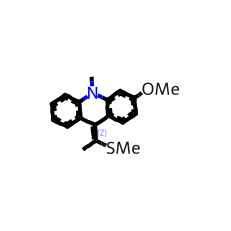 COc1ccc2c(c1)N(C)c1ccccc1/C2=C(\C)SC